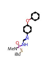 CCC(C)SP(=O)(NC)NC=Nc1ccc(Oc2ccccc2)cc1